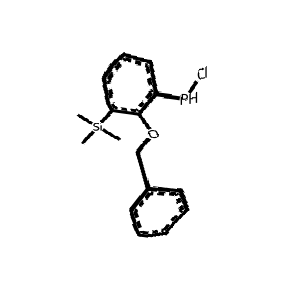 C[Si](C)(C)c1cccc(PCl)c1OCc1ccccc1